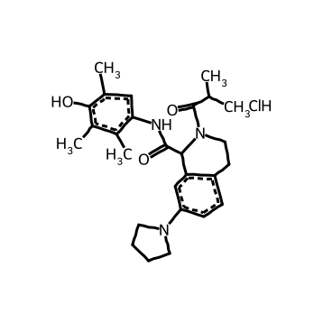 Cc1cc(NC(=O)C2c3cc(N4CCCC4)ccc3CCN2C(=O)C(C)C)c(C)c(C)c1O.Cl